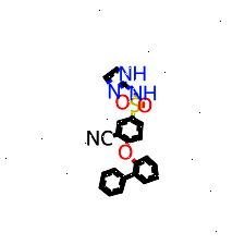 N#Cc1cc(S(=O)(=O)Nc2ncc[nH]2)ccc1Oc1ccccc1-c1ccccc1